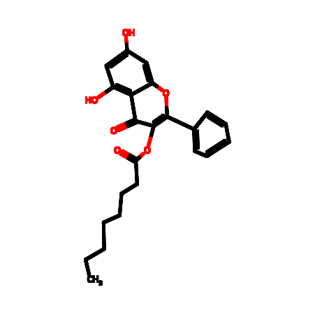 CCCCCCCC(=O)Oc1c(-c2ccccc2)oc2cc(O)cc(O)c2c1=O